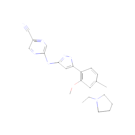 CCN1CCC[C@H]1Cc1ccc(-c2cc(Nc3cnc(C#N)cn3)n[nH]2)c(OC)c1